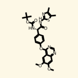 COc1cc2ncnc(Oc3ccc([C@H](NC(=O)OC(C)(C)C)C(=O)Nc4nc(C)c(C)s4)cc3)c2cc1OC